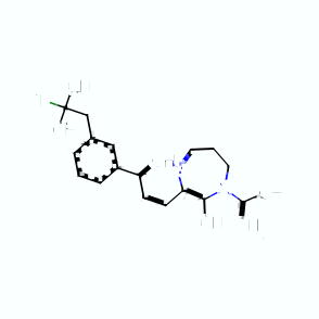 C=C(/C=C\C1=C(C)N(C(=C)C)CCC=N1)c1cccc(CC(C)(C)F)c1